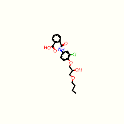 CCCCOCC(O)COc1ccc(NC(=O)c2ccccc2C(=O)O)cc1Cl